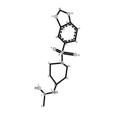 CB(O)NC1CCN(S(=O)(=O)c2ccc3c(c2)OCO3)CC1